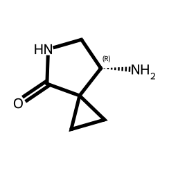 N[C@H]1CNC(=O)C12CC2